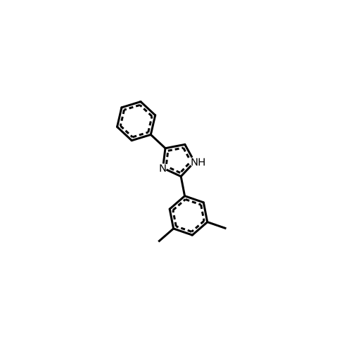 Cc1cc(C)cc(-c2nc(-c3ccccc3)c[nH]2)c1